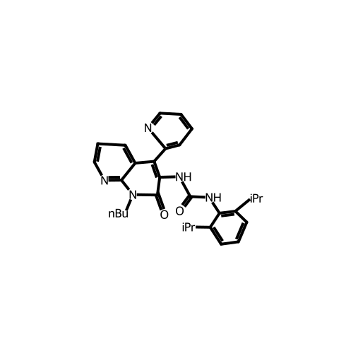 CCCCn1c(=O)c(NC(=O)Nc2c(C(C)C)cccc2C(C)C)c(-c2ccccn2)c2cccnc21